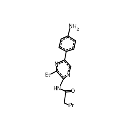 CCc1nc(-c2ccc(N)cc2)cnc1NC(=O)CC(C)C